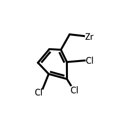 Clc1ccc([CH2][Zr])c(Cl)c1Cl